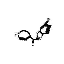 O=C(c1nc2ccc(F)cc2s1)C1CCNCC1